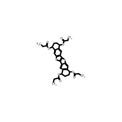 O=C(CC(F)(F)F)OC1CCC(OC(=O)CC(F)(F)F)c2cc3c(cc21)sc1c2cc4c(cc2sc31)C(OC(=O)CC(F)(F)F)CCC4OC(=O)CC(F)(F)F